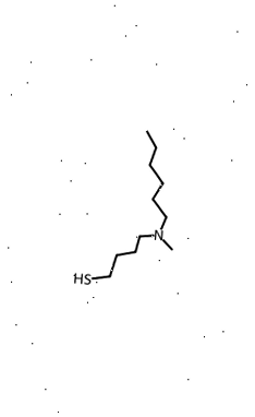 CCCCCCN(C)CCCCS